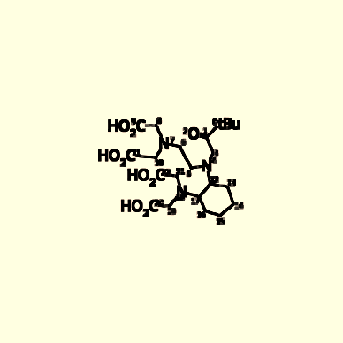 CC(C)(C)C(=O)CN(CCN(CC(=O)O)CC(=O)O)C1CCCCC1N(CC(=O)O)CC(=O)O